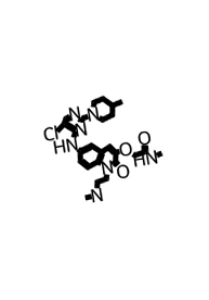 CNC(=O)COc1cc2cc(Nc3nc(N4CCC(C)CC4)ncc3Cl)ccc2n(CCN(C)C)c1=O